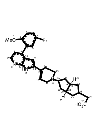 COc1ccc(F)cc1-c1ccnc2[nH]c(C3=CCN(C4C[C@H]5CC(CC(=O)O)C[C@H]5C4)CC3)cc12